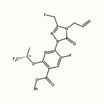 C=CCn1c(CF)nn(-c2nc(O[C@@H](C)C(F)(F)F)c(C(=O)OC(C)C)cc2F)c1=O